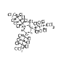 C[CH]c1c(C(Cl)(Cl)C(Cl)(Cl)C(Cl)(Cl)C(Cl)(Cl)Cl)cc(C(Cl)(Cl)C(Cl)(Cl)C(Cl)(Cl)C(Cl)(Cl)Cl)cc1C(Cl)(Cl)C(Cl)(Cl)C(Cl)(Cl)C(Cl)(Cl)Cl